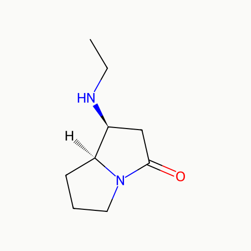 CCN[C@H]1CC(=O)N2CCC[C@@H]12